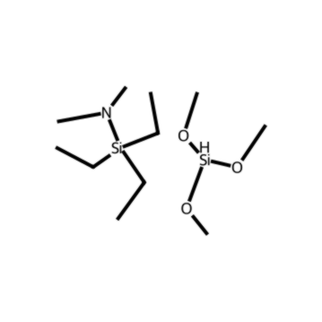 CC[Si](CC)(CC)N(C)C.CO[SiH](OC)OC